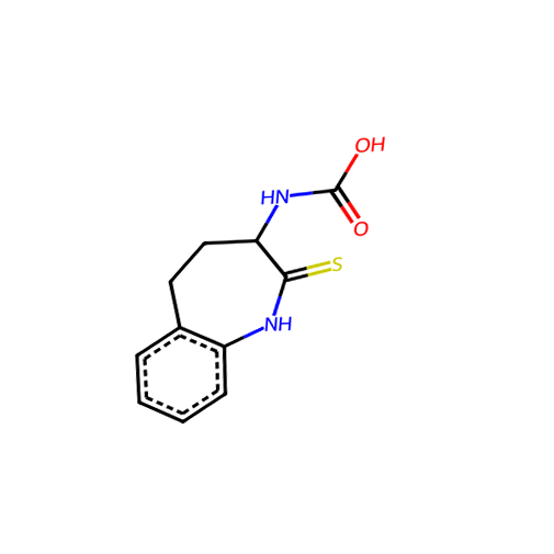 O=C(O)NC1CCc2ccccc2NC1=S